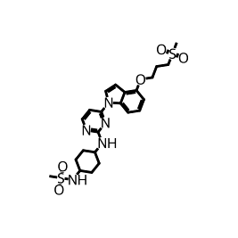 CS(=O)(=O)CCCOc1cccc2c1ccn2-c1ccnc(NC2CCC(NS(C)(=O)=O)CC2)n1